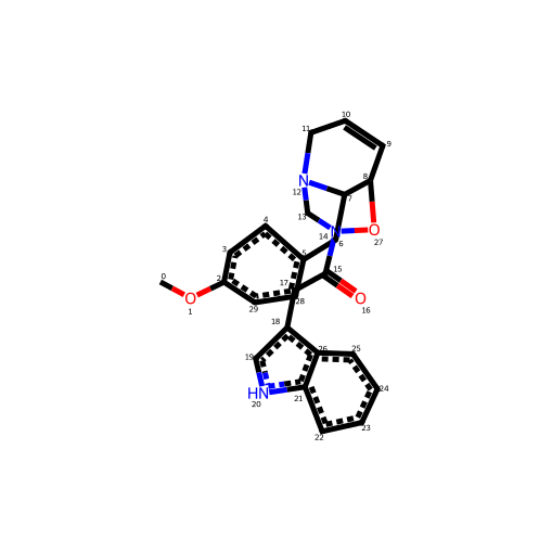 COc1ccc(CC2C3C=CCN2CN(C(=O)Cc2c[nH]c4ccccc24)O3)cc1